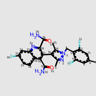 Cc1nn(Cc2c(F)cc(C#N)cc2F)c(C)c1-c1c(C(N)=O)nc2cc(F)ccc2c1C(N)=O